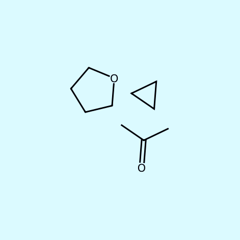 C1CC1.C1CCOC1.CC(C)=O